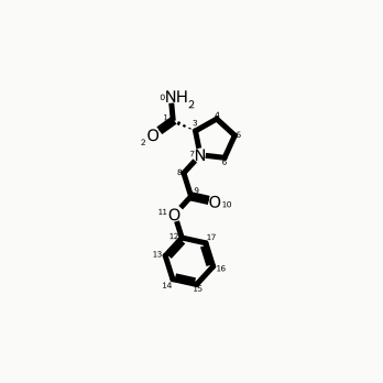 NC(=O)[C@@H]1CCCN1CC(=O)Oc1ccccc1